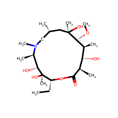 CC[C@H]1OC(=O)[C@H](C)[C@@H](O)[C@H](C)[C@@H](OC)[C@](C)(O)C[C@@H](C)CN(C)[C@H](C)[C@@H](O)[C@]1(C)O